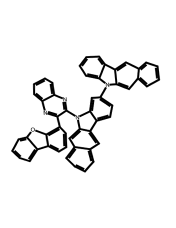 c1ccc2cc3c(cc2c1)c1ccccc1n3-c1ccc2c3cc4ccccc4cc3n(-c3nc4ccccc4nc3-c3cccc4c3oc3ccccc34)c2c1